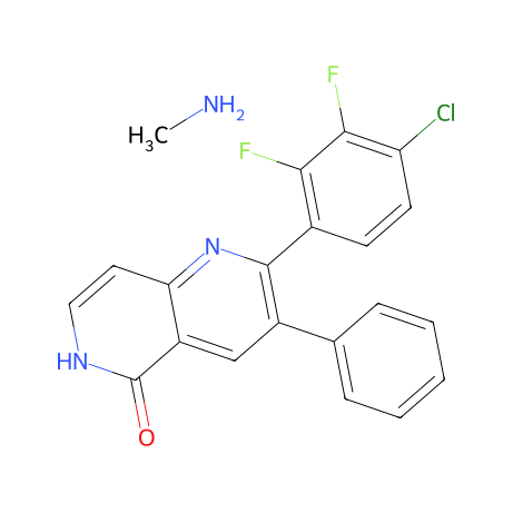 CN.O=c1[nH]ccc2nc(-c3ccc(Cl)c(F)c3F)c(-c3ccccc3)cc12